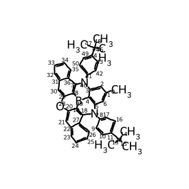 Cc1cc2c3c(c1)N(c1ccc(C(C)(C)C)cc1)c1c4c(cc5ccccc15)Oc1cc5ccccc5c(c1B34)N2c1ccc(C(C)(C)C)cc1